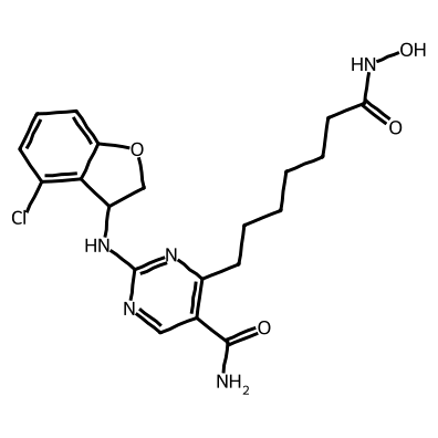 NC(=O)c1cnc(NC2COc3cccc(Cl)c32)nc1CCCCCCC(=O)NO